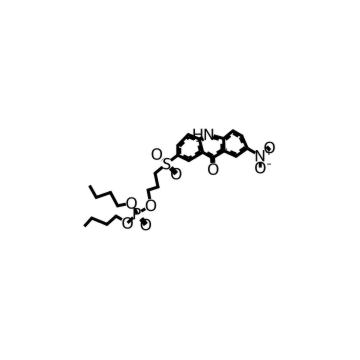 CCCCOP(=O)(OCCCC)OCCCS(=O)(=O)c1ccc2[nH]c3ccc([N+](=O)[O-])cc3c(=O)c2c1